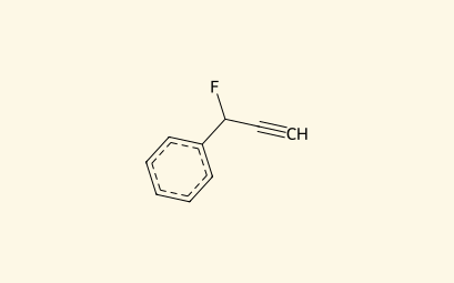 C#CC(F)c1ccccc1